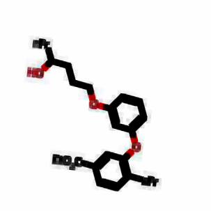 CCCc1ccc(C(=O)OCC)cc1Oc1cccc(OCCCC(O)CCC)c1